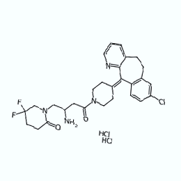 Cl.Cl.NC(CC(=O)N1CCC(=C2c3ccc(Cl)cc3CCc3cccnc32)CC1)CN1CC(F)(F)CCC1=O